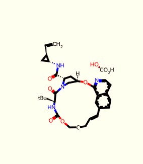 C=C[C@@H]1C[C@H]1NC(=O)[C@@H]1C[C@@H]2CN1C(=O)[C@H](C(C)(C)C)NC(=O)OCCC/C=C/c1ccc3ccnc(c3c1)O2.O=C(O)O